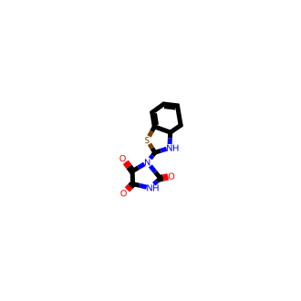 O=C1NC(=O)N(C2NC3CC=CC=C3S2)C1=O